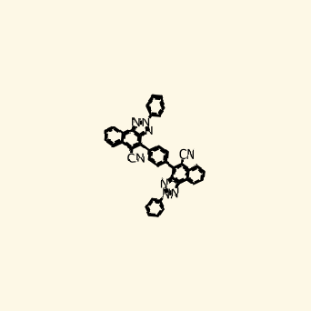 N#Cc1c(-c2ccc(-c3c(C#N)c4ccccc4c4nn(-c5ccccc5)nc34)cc2)c2nn(-c3ccccc3)nc2c2ccccc12